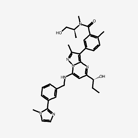 CC[C@@H](O)c1cc(NCc2cccc(-c3nccn3C)c2)n2nc(C)c(-c3ccc(C)c(C(=O)N(C)[C@@H](C)CO)c3)c2n1